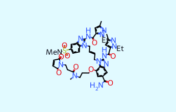 CCn1nc(C)cc1C(=O)Nc1nc2cc(S(=O)(=O)NC)ccc2n1C/C=C/Cn1c(NC(=O)c2cc(C)nn2CC)nc2cc(C(N)=O)cc(OCCCN(C)C(=O)CCN3C(=O)C=CC3=O)c21